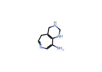 NC1=CN=CCC2=C1NCNC2